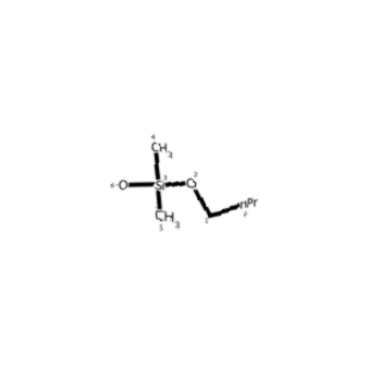 CCCCO[Si](C)(C)[O]